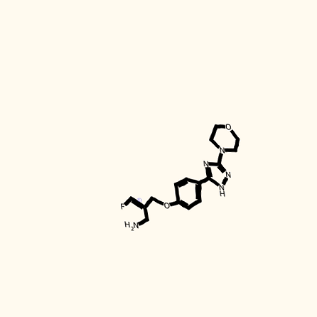 NC/C(=C\F)COc1ccc(-c2nc(N3CCOCC3)n[nH]2)cc1